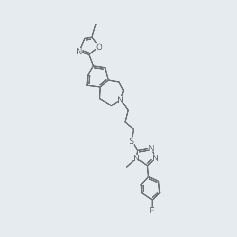 Cc1cnc(-c2ccc3c(c2)CCN(CCCSc2nnc(-c4ccc(F)cc4)n2C)CC3)o1